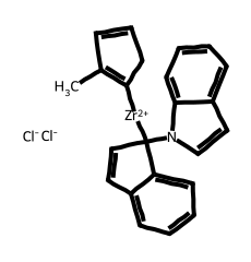 CC1=[C]([Zr+2][C]2(n3ccc4ccccc43)C=Cc3ccccc32)CC=C1.[Cl-].[Cl-]